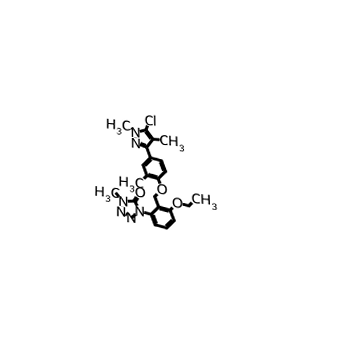 CCOc1cccc(-n2nnn(C)c2=O)c1COc1ccc(-c2nn(C)c(Cl)c2C)cc1C